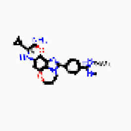 C=N/C(=N\NC)c1ccc(-c2nc3cc(N[C@H](C(N)=O)C4CC4)cc4c3n2CCCO4)cc1